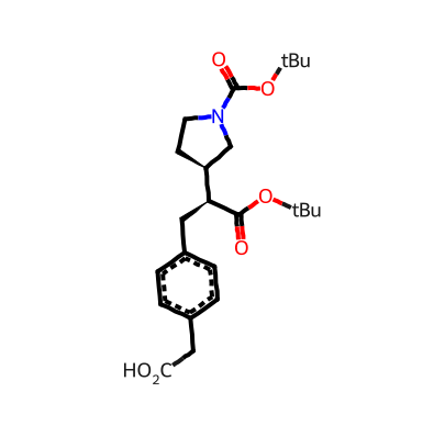 CC(C)(C)OC(=O)[C@@H](Cc1ccc(CC(=O)O)cc1)[C@H]1CCN(C(=O)OC(C)(C)C)C1